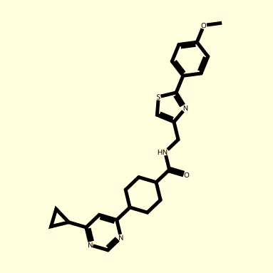 COc1ccc(-c2nc(CNC(=O)C3CCC(c4cc(C5CC5)ncn4)CC3)cs2)cc1